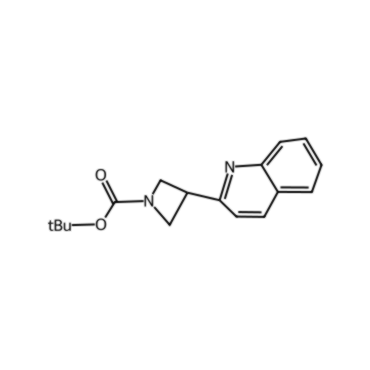 CC(C)(C)OC(=O)N1CC(c2ccc3ccccc3n2)C1